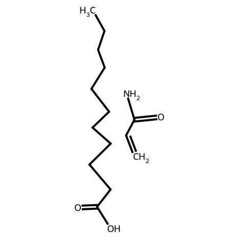 C=CC(N)=O.CCCCCCCCCCC(=O)O